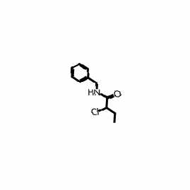 CCC(Cl)C(=O)NCc1ccccc1